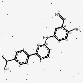 CC(N)c1ccc(-c2nccc(Nc3ccc(N)c(C=N)c3)n2)cc1